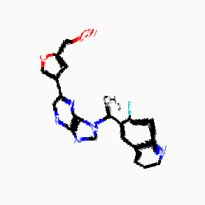 CC(c1cc2cccnc2cc1F)n1cnc2ncc(-c3coc(CO)c3)nc21